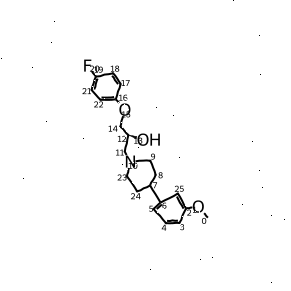 COc1cccc(C2CCN(C[C@H](O)COc3ccc(F)cc3)CC2)c1